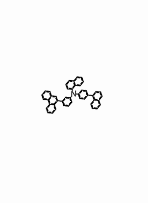 c1cc(-c2cc3ccccc3c3ccccc23)cc(N(c2ccc(-c3cccc4ccccc34)cc2)c2cccc3ccccc23)c1